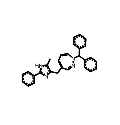 Cc1[nH]c(-c2ccccc2)nc1CC1=CC=CN(C(c2ccccc2)c2ccccc2)N=C1